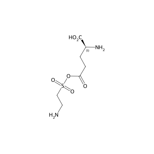 NCCS(=O)(=O)OC(=O)CC[C@H](N)C(=O)O